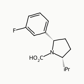 CC(C)[C@H]1CC[C@@H](c2cccc(F)c2)N1C(=O)O